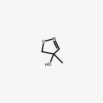 CC1(O)C=NOC1